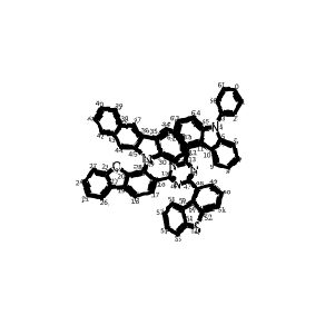 c1ccc(-n2c3ccccc3c3c(-c4nc(-c5ccc6c(oc7ccccc76)c5-n5c6ccccc6c6cc7ccccc7cc65)nc(-c5cccc6sc7ccccc7c56)n4)cccc32)cc1